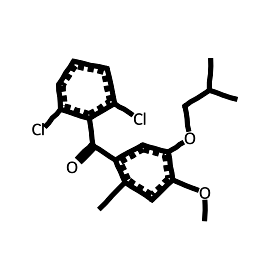 COc1cc(C)c(C(=O)c2c(Cl)cccc2Cl)cc1OCC(C)C